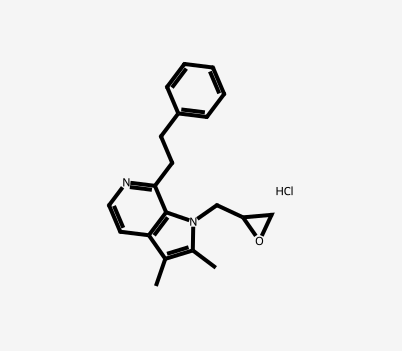 Cc1c(C)n(CC2CO2)c2c(CCc3ccccc3)nccc12.Cl